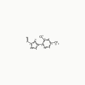 C=Cc1ncn(-c2ncc(C(F)(F)F)cc2Cl)n1